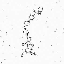 CNC(=O)C(CCC=O)N1C(=O)c2ccc(N3CCN(CC4CCN(c5ccc(C(=O)NC6CCCCC6)cc5)CC4)CC3)cc2C1=O